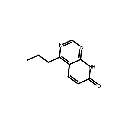 CCCc1ncnc2[nH]c(=O)ccc12